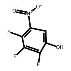 O=[N+]([O-])c1cc(O)c(F)c(F)c1F